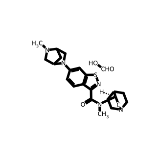 CN1CC2CC1CN2c1ccc2c(C(=O)N(C)[C@@H]3CN4CCC3CC4)nsc2c1.O=CO